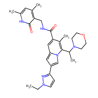 CCn1ccc(-c2cc3cc(C(=O)NCc4c(C)cc(C)[nH]c4=O)c(C)c(C(C)N4CCOCC4)n3c2)n1